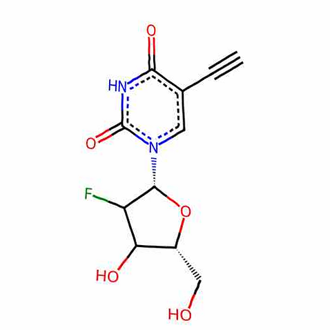 C#Cc1cn([C@@H]2O[C@H](CO)C(O)C2F)c(=O)[nH]c1=O